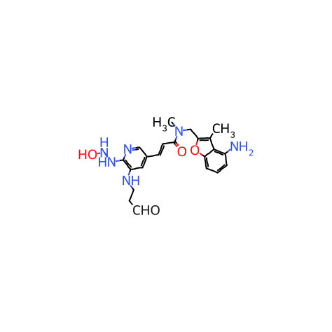 Cc1c(CN(C)C(=O)/C=C/c2cnc(NNO)c(NCCC=O)c2)oc2cccc(N)c12